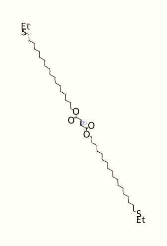 CCSCCCCCCCCCCCCCCCCCCOC(=O)/C=C/C(=O)OCCCCCCCCCCCCCCCCCCSCC